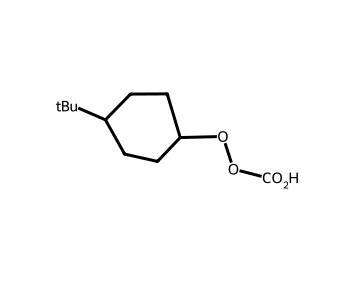 CC(C)(C)C1CCC(OOC(=O)O)CC1